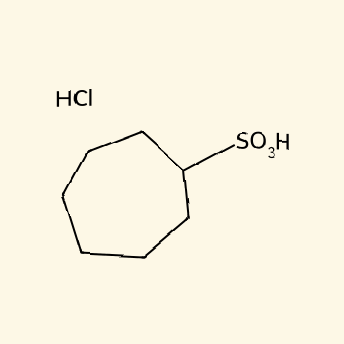 Cl.O=S(=O)(O)C1CCCCCC1